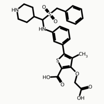 Cc1c(-c2cccc(NC(C3CCNCC3)S(=O)(=O)Cc3ccccc3)c2)sc(C(=O)O)c1OCC(=O)O